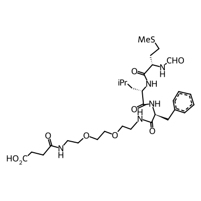 CSCC[C@H](NC=O)C(=O)N[C@@H](CC(C)C)C(=O)N[C@@H](Cc1ccccc1)C(=O)NCCOCCOCCNC(=O)CCC(=O)O